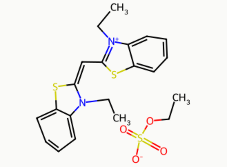 CCN1C(=Cc2sc3ccccc3[n+]2CC)Sc2ccccc21.CCOS(=O)(=O)[O-]